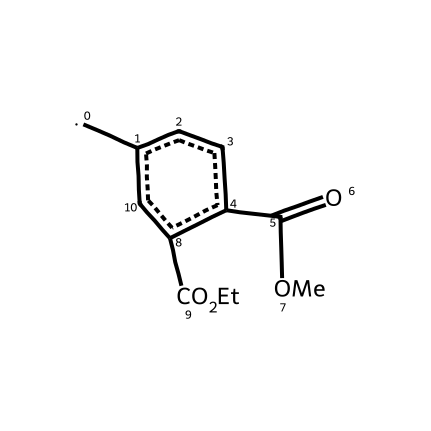 [CH2]c1ccc(C(=O)OC)c(C(=O)OCC)c1